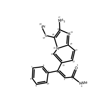 CNC(=O)/C=C(/c1ccccc1)c1ccc2nc(N)c(SC(C)C)n2c1